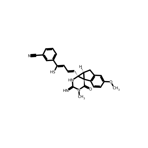 COc1ccc2c(c1)C[C@@H]1[C@]3(/C=C/C=C(\S)c4cccc(C#N)c4)NC(=N)N(C)C(=O)[C@]213